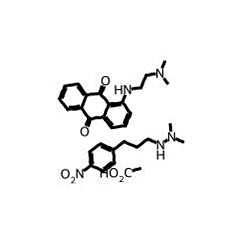 CC(=O)O.CN(C)CCNc1cccc2c1C(=O)c1ccccc1C2=O.CN(C)NCCCc1ccc([N+](=O)[O-])cc1